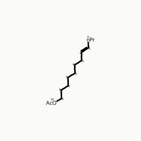 CCCC=CCCCCCCCOC(C)=O